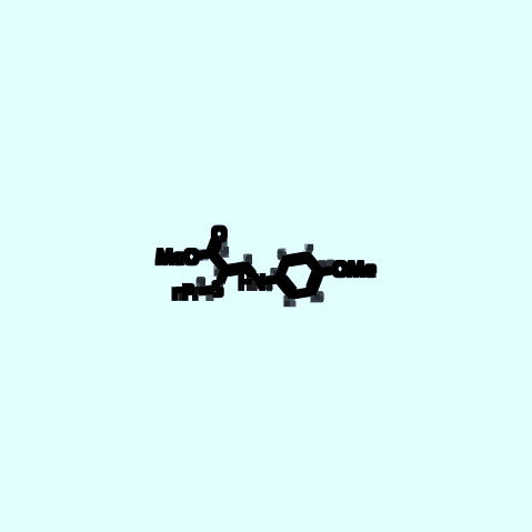 CCCS/C(=C\Nc1ccc(OC)cc1)C(=O)OC